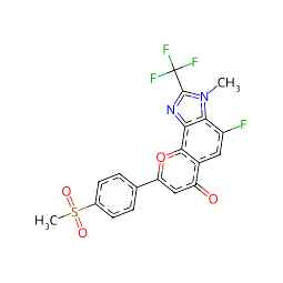 Cn1c(C(F)(F)F)nc2c3oc(-c4ccc(S(C)(=O)=O)cc4)cc(=O)c3cc(F)c21